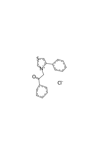 O=C(C[n+]1cscc1-c1ccccc1)c1ccccc1.[Cl-]